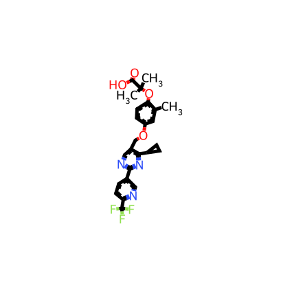 Cc1cc(OCc2cnc(-c3ccc(C(F)(F)F)nc3)nc2C2CC2)ccc1OC(C)(C)C(=O)O